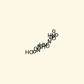 O=C(CCN1CCC(OC(=O)Nc2ccccc2-c2ccccc2)CC1)NCCCCCN(Cc1ccc(O)cc1)C(=O)[C@@H]1CCCN1